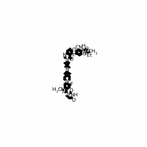 CCN(C)S(=O)(=O)Nc1ccc(F)c(Oc2ccc3ncn(C4CC5(C4)CN(C4CC6(CCN(c7cc8c(cc7F)c(N7CCC(=O)NC7=O)nn8C)CC6)C4)C5)c(=O)c3c2)c1C#N